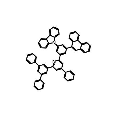 c1ccc(-c2cc(-c3ccccc3)cc(-c3cc(-c4ccccc4)cc(-c4cc(-c5cc6ccccc6c6ccccc56)cc(-n5c6ccccc6c6ccccc65)c4)n3)c2)cc1